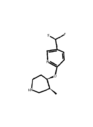 C[C@H]1CNCC[C@H]1Oc1ccc(C(F)F)cn1